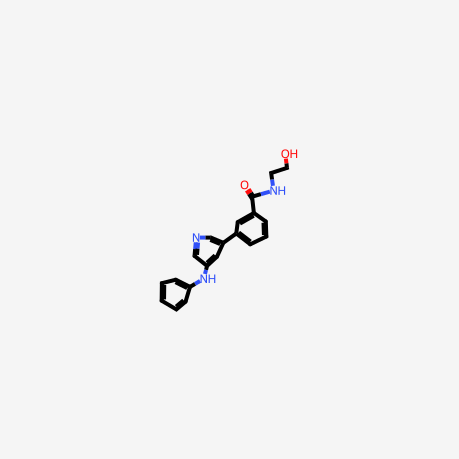 O=C(NCCO)c1cccc(-c2cncc(Nc3ccccc3)c2)c1